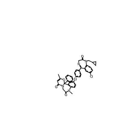 CC1=CC(=O)N2CC(=O)N(C)c3ccc(Cl)cc3C2(c2ccccc2)O1.O=C1CN=C(c2ccccc2)c2cc(Cl)ccc2N1CC1CC1